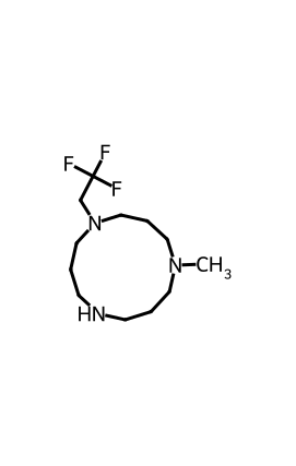 CN1CCCNCCCN(CC(F)(F)F)CCC1